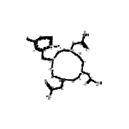 Cc1cc[n+]([O-])c(CN2CCN(CC(=O)O)CCN(CC(=O)O)CCN(CC(=O)O)CC2)c1